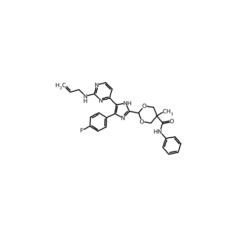 C=CCNc1nccc(-c2[nH]c(C3OCC(C)(C(=O)Nc4ccccc4)CO3)nc2-c2ccc(F)cc2)n1